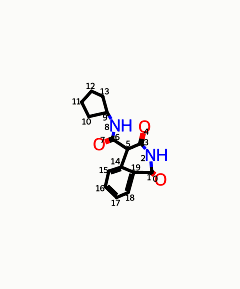 O=C1NC(=O)C(C(=O)NC2CCCC2)c2ccccc21